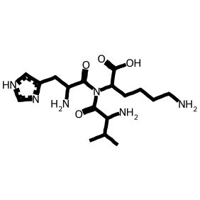 CC(C)C(N)C(=O)N(C(=O)C(N)Cc1c[nH]cn1)C(CCCCN)C(=O)O